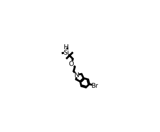 C[SiH](C)C(C)(C)COCCN1Cc2ccc(Br)cc2C1